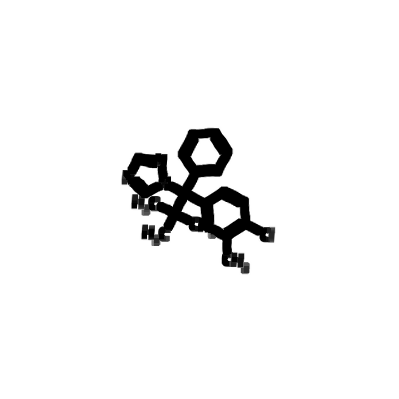 Cc1cc(C(c2ccccc2)(n2cncn2)C(C)(C)C)ccc1Cl